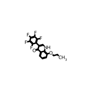 CCCOc1cccc2c(=O)c(-c3c(F)c(F)c(F)c(F)c3F)c[nH]c12